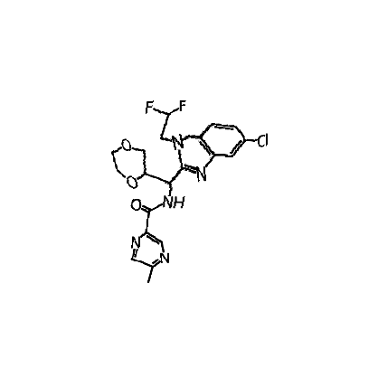 Cc1cnc(C(=O)NC(c2nc3cc(Cl)ccc3n2CC(F)F)C2COCCO2)cn1